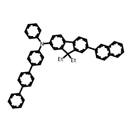 CCC1(CC)c2cc(-c3ccc4ccccc4c3)ccc2-c2ccc(N(c3ccccc3)c3ccc(-c4ccc(-c5ccccc5)cc4)cc3)cc21